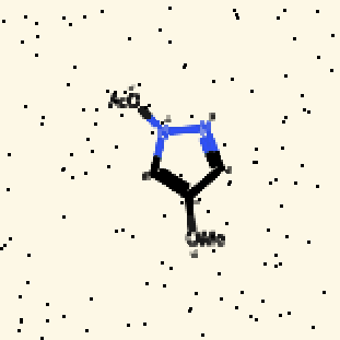 COc1cnn(OC(C)=O)c1